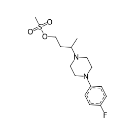 CC(CCOS(C)(=O)=O)N1CCN(c2ccc(F)cc2)CC1